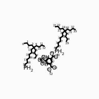 CCCCC(CCCC)(CCCC)CCCCCCCP.CCCCC(CCCC)(CCCC)CCCCCCCP.COC(=O)c1cc(C(=O)OC)cc(P(=O)(O)O)c1